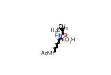 CC(=O)NCCCCC/C=C(/NC(=O)C1CC1(C)C)C(=O)O